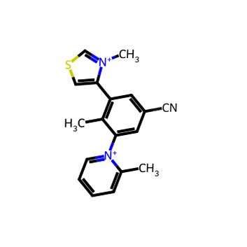 Cc1c(-c2csc[n+]2C)cc(C#N)cc1-[n+]1ccccc1C